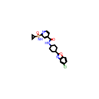 N=S(=O)(c1cc(C(=O)NC2CCC(c3nc4cc(Cl)ccc4o3)CC2)ccn1)C1CC1